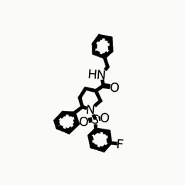 O=C(NCc1ccccc1)C1CCC(c2ccccc2)N(S(=O)(=O)c2cccc(F)c2)C1